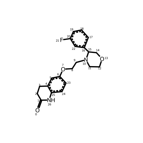 O=C1CCc2cc(OCCN3CCOCC3c3cccc(F)c3)ccc2N1